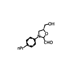 CCCc1ccc(N2C[C@@H](CO)OC2C=O)cc1